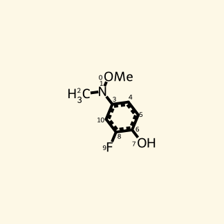 CON(C)c1ccc(O)c(F)c1